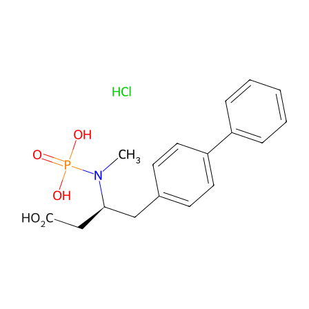 CN([C@H](CC(=O)O)Cc1ccc(-c2ccccc2)cc1)P(=O)(O)O.Cl